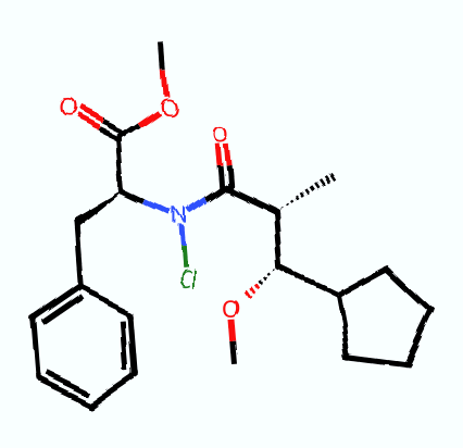 COC(=O)[C@H](Cc1ccccc1)N(Cl)C(=O)[C@H](C)[C@@H](OC)C1CCCC1